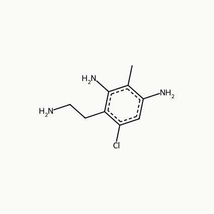 Cc1c(N)cc(Cl)c(CCN)c1N